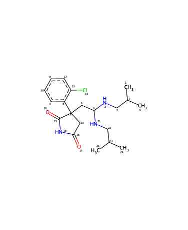 CC(C)CNC(CC1(c2ccccc2Cl)CC(=O)NC1=O)NCC(C)C